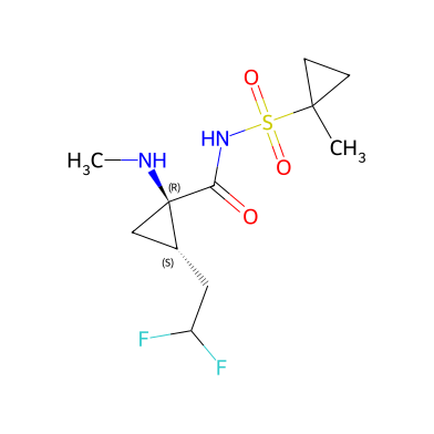 CN[C@]1(C(=O)NS(=O)(=O)C2(C)CC2)C[C@H]1CC(F)F